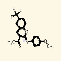 COc1ccc(/N=c2\oc3ccc(C(F)(F)F)cc3cc2C(C)=S)cc1